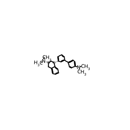 CN(C)c1ccc(-c2cccc([C@H]3C[C@@H](N(C)C)Cc4ccccc43)c2)cc1